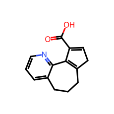 O=C(O)C1=CCC2=C1c1ncccc1CCC2